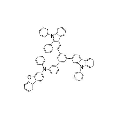 c1ccc(N(c2cccc(-c3cc(-c4ccc5c6ccccc6n(-c6ccccc6)c5c4)cc(-c4cc5c6ccccc6n(-c6ccccc6)c5c5ccccc45)c3)c2)c2ccc3c(c2)oc2ccccc23)cc1